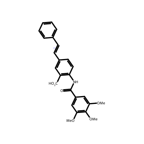 COc1cc(C(=O)Nc2ccc(/C=C/c3ccccc3)cc2C(=O)O)cc(OC)c1OC